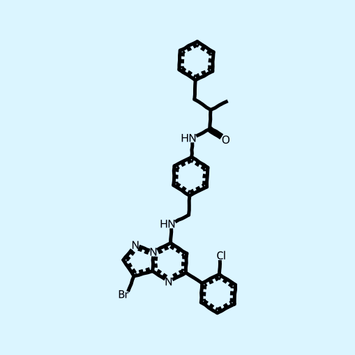 CC(Cc1ccccc1)C(=O)Nc1ccc(CNc2cc(-c3ccccc3Cl)nc3c(Br)cnn23)cc1